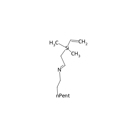 C=C[Si](C)(C)CC=NCCCCCCC